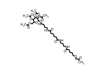 CC(=O)NC1C(ONCCCNC(=O)CCCCC(=O)NCCCNC(=O)CCCCOOC(C)=O)OC(COC(C)=O)C(OC(C)=O)C1OC(C)=O